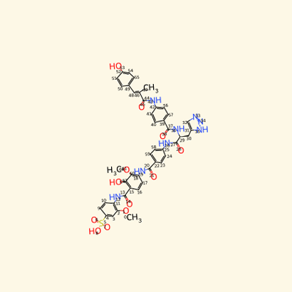 COc1cc(S(=O)(=O)O)ccc1NC(=O)c1ccc(NC(=O)c2ccc(NC(=O)[C@H](Cc3cnn[nH]3)NC(=O)c3ccc(NC(=O)/C(C)=C/c4ccc(O)cc4)cc3)cc2)c(OC)c1O